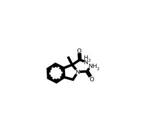 CC1(C(N)=O)c2ccccc2CN1C(N)=O